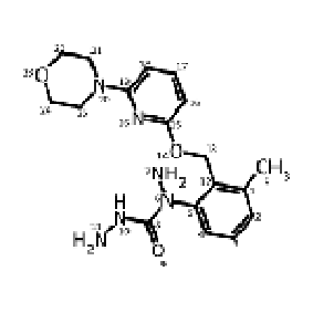 Cc1cccc(N(N)C(=O)NN)c1COc1cccc(N2CCOCC2)n1